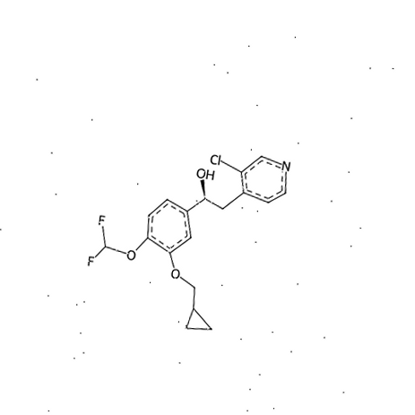 O[C@@H](Cc1ccncc1Cl)c1ccc(OC(F)F)c(OCC2CC2)c1